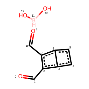 O=Cc1c2ccc-2c1C=O.OBO